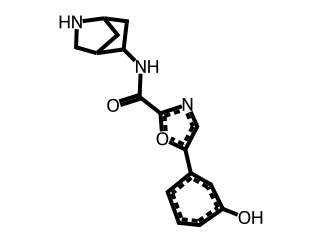 O=C(NC1CC2CC1CN2)c1ncc(-c2cccc(O)c2)o1